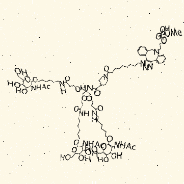 COP(=O)(O)OCCN1Cc2ccccc2-c2c(nnn2CCCCCCCCC(=O)N2CCC(C(=O)NC(COCCC(=O)NCCCCCCOC3OC(CO)C(O)C(O)C3NC(C)=O)(COCCC(=O)NCCCCCCOC3OC(CO)C(O)C(O)C3NC(C)=O)COCCC(=O)NCCCCCCOC3OC(CO)C(O)C(O)C3NC(C)=O)CC2)-c2ccccc21